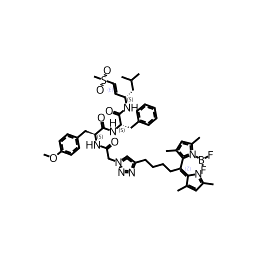 COc1ccc(C[C@H](NC(=O)Cn2cc(CCCC/C(=C3/N=C(C)C=C3C)c3c(C)cc(C)n3B(F)F)nn2)C(=O)N[C@@H](Cc2ccccc2)C(=O)N[C@H](/C=C/S(C)(=O)=O)CC(C)C)cc1